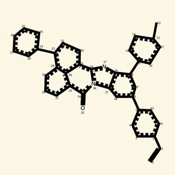 C=Cc1ccc(-c2cc(-c3ccc(C)cc3)c3nc4c5ccc(-c6ccccc6)c6cccc(c(=O)n4c3c2)c65)cc1